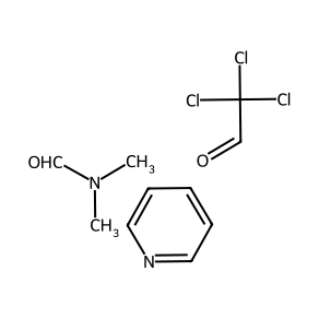 CN(C)C=O.O=CC(Cl)(Cl)Cl.c1ccncc1